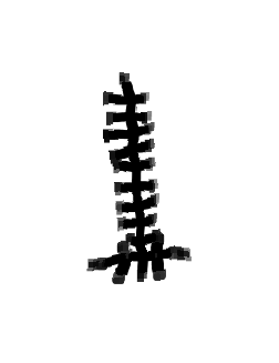 O=S(=O)(O)C(F)(C(F)(F)C(F)(F)C(F)(F)C(F)(F)C(F)(F)C(F)(F)C(F)(F)C(F)(F)C(F)(F)F)S(=O)(=O)O